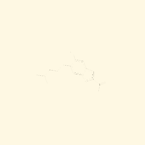 CCC(=O)c1cc2cc(C(C)=O)c(OCCN(C)C)cc2[nH]1